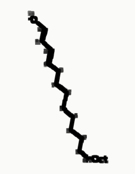 CCCCCCCCCCCCCCCCC=CC=C[O]